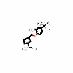 CB(C)c1cccc(COc2ccc(C(C)(C)C)cc2C)c1